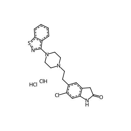 Cl.Cl.O=C1Cc2cc(CCN3CCN(c4nsc5ccccc45)CC3)c(Cl)cc2N1